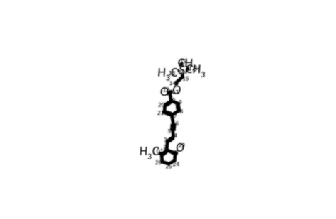 CC1=C(C=CC#Cc2ccc(C(=O)OCC[Si](C)(C)C)cc2)C(=O)CCC1